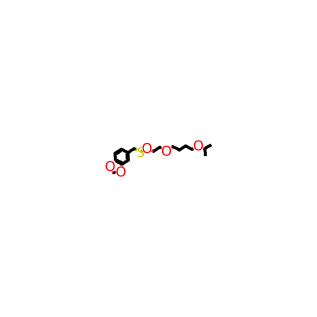 CC(C)OCCCCOCCOSCc1ccc2c(c1)OCO2